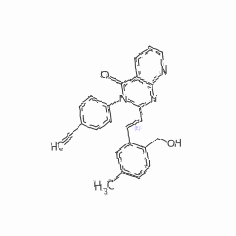 C#Cc1ccc(-n2c(/C=C/c3cc(C)ccc3CO)nc3ncccc3c2=O)cc1